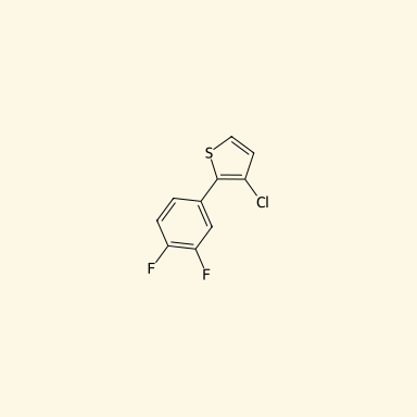 Fc1ccc(-c2sccc2Cl)cc1F